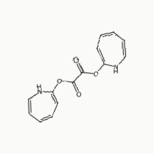 O=C(OC1=CC=CC=CN1)C(=O)OC1=CC=CC=CN1